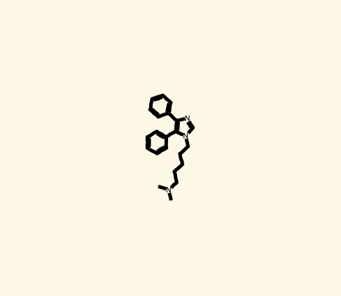 CN(C)CCCCCn1cnc(-c2ccccc2)c1-c1ccccc1